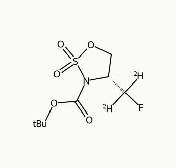 [2H]C([2H])(F)[C@H]1COS(=O)(=O)N1C(=O)OC(C)(C)C